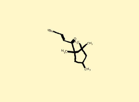 CC1CC(C)(C)C(C)(C(=O)/C=C/C(C)(C)C)C1